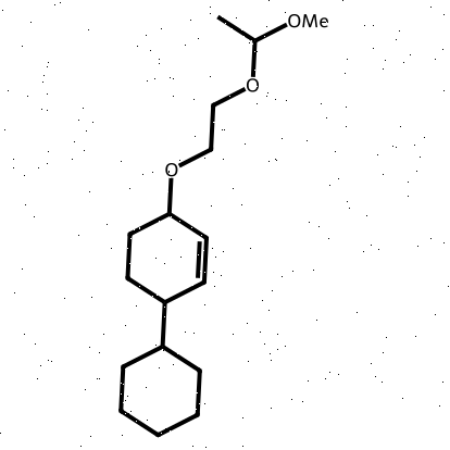 COC(C)OCCOC1C=CC(C2CCCCC2)CC1